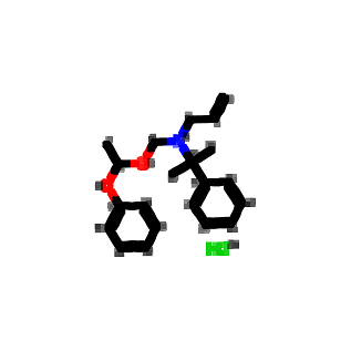 C=CCN(COC(C)Oc1ccccc1)C(C)(C)c1ccccc1.Cl